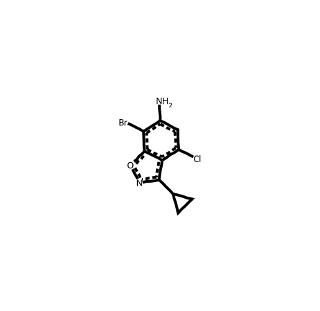 Nc1cc(Cl)c2c(C3CC3)noc2c1Br